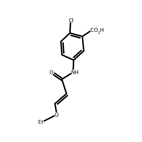 CCOC=CC(=O)Nc1ccc(Cl)c(C(=O)O)c1